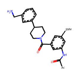 CSc1cc(NC(=O)C(C)=O)cc(C(=O)N2CCC(c3cccc(CN)c3)CC2)c1